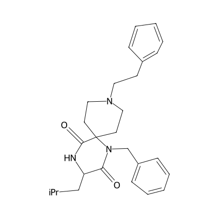 CC(C)CC1NC(=O)C2(CCN(CCc3ccccc3)CC2)N(Cc2ccccc2)C1=O